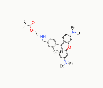 C=C(C)C(=O)OCCNCc1ccc(-c2c3ccc(=[N+](CC)CC)cc-3oc3cc(N(CC)CC)ccc23)c(S(=O)(=O)O)c1